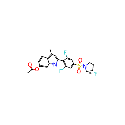 CC(=O)Oc1ccc2c(C)cc(-c3c(F)cc(S(=O)(=O)N4CC[C@H](F)C4)cc3F)nc2c1